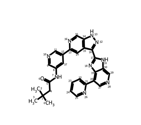 CC(C)(C)CC(=O)Nc1cncc(-c2cc3c(-c4nc5c(-c6ccccn6)cncc5[nH]4)n[nH]c3cn2)c1